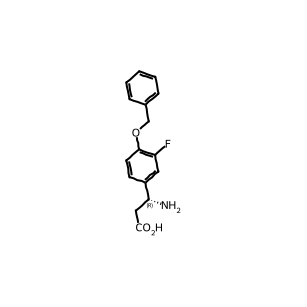 N[C@H](CC(=O)O)c1ccc(OCc2ccccc2)c(F)c1